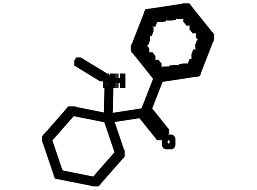 CNC1(C(=O)c2ccccc2)CCCCC1